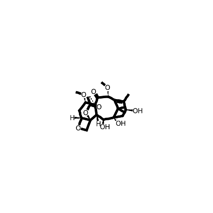 CO[C@H]1C(=O)[C@]2(C)[C@@H](OC)C[C@H]3OC[C@@]3(OC(C)=O)[C@H]2[C@H](O)[C@]2(O)C[C@H](O)C(C)=C1C2(C)C